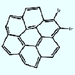 Brc1c(Br)c2ccc3ccc4ccc5ccc6ccc1c1c6c5c4c3c21